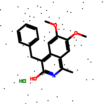 COc1cc2c(C)nc(O)c(Cc3ccccc3)c2cc1OC.Cl